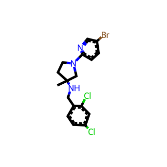 CC1(NCc2ccc(Cl)cc2Cl)CCN(c2ccc(Br)cn2)C1